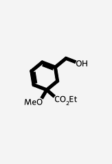 CCOC(=O)C1(OC)C=CC=C(CO)C1